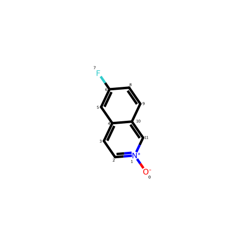 [O-][n+]1ccc2cc(F)ccc2c1